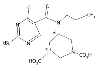 CC(C)(C)c1ncc(C(=O)N(CCC(F)(F)F)[C@H]2C[C@@H](C(=O)O)CN(C(=O)O)C2)c(Cl)n1